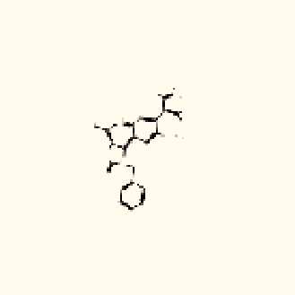 COc1cc2c(cc1-c1c(C)noc1C)nc(CC(C)C)c1oc(=O)n(Cc3ccccc3)c12